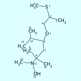 CSC(C)COC(CC(C)(C)N(C)O)C(C)C